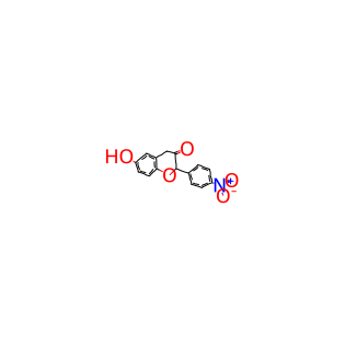 O=C1Cc2cc(O)ccc2OC1c1ccc([N+](=O)[O-])cc1